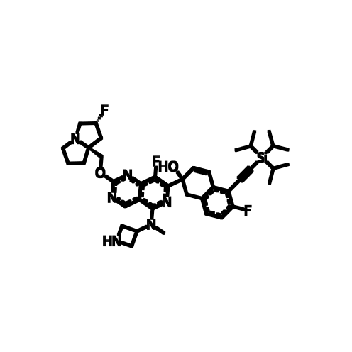 CC(C)[Si](C#Cc1c(F)ccc2c1C=CC(O)(c1nc(N(C)C3CNC3)c3cnc(OC[C@@]45CCCN4C[C@H](F)C5)nc3c1F)C2)(C(C)C)C(C)C